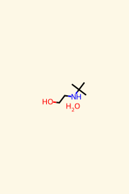 CC(C)(C)NCCO.O